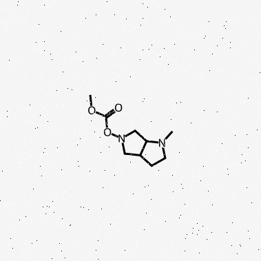 COC(=O)ON1CC2CCN(C)C2C1